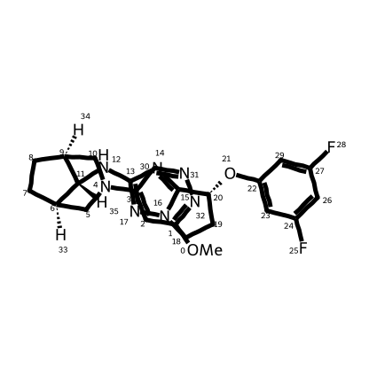 COc1cc(N2C[C@H]3CC[C@@H](C2)[C@@H]3Nc2nc3n(n2)CC[C@H]3Oc2cc(F)cc(F)c2)cnn1